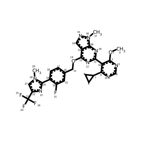 COc1ncnc(C2CC2)c1-c1nc(OCc2ccc(-c3nc(C(F)(F)F)cn3C)c(F)c2)c2cnn(C)c2n1